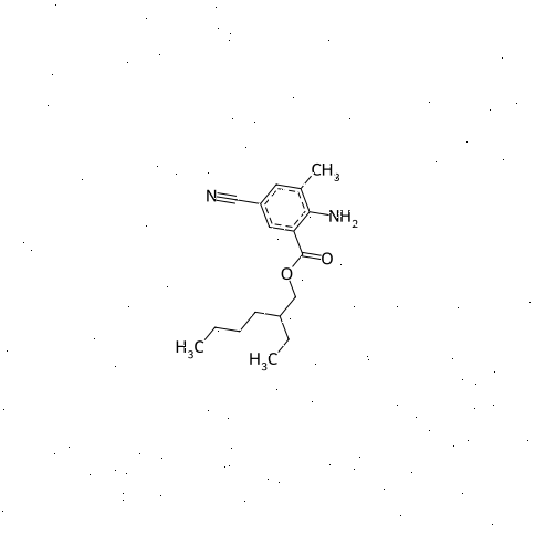 CCCCC(CC)COC(=O)c1cc(C#N)cc(C)c1N